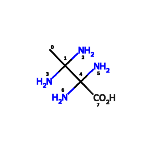 CC(N)(N)C(N)(N)C(=O)O